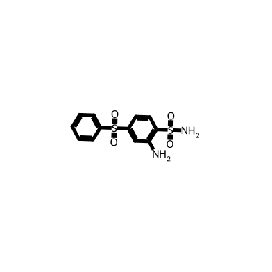 Nc1cc(S(=O)(=O)c2ccccc2)ccc1S(N)(=O)=O